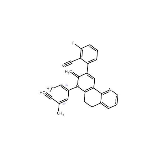 C#C/C(C)=C\C(=C/C)N1C(=C)C(c2cccc(F)c2C#N)=CC2=C1CCc1cccnc12